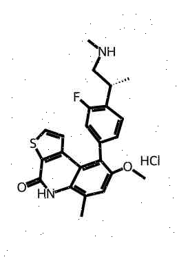 CNC[C@H](C)c1ccc(-c2c(OC)cc(C)c3[nH]c(=O)c4sccc4c23)cc1F.Cl